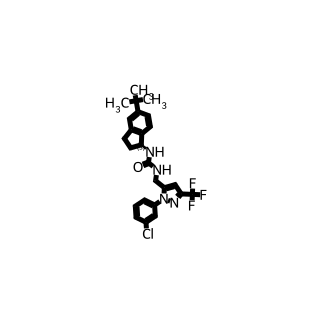 CC(C)(C)c1ccc2c(c1)CC[C@@H]2NC(=O)NCc1cc(C(F)(F)F)nn1-c1cccc(Cl)c1